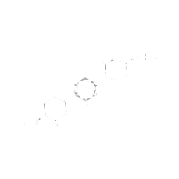 CCCCCC[C@H]1CO[C@H](c2ccc([C@H]3CC[C@H](CCCC)CC3)cc2)CO1